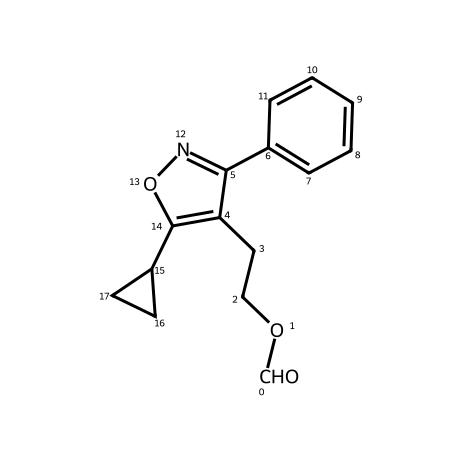 O=COCCc1c(-c2ccccc2)noc1C1CC1